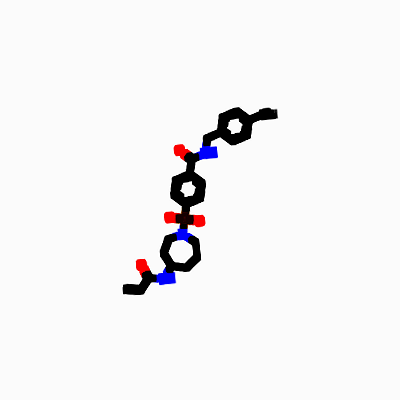 C=CC(=O)NC1CCCN(S(=O)(=O)c2ccc(C(=O)NCc3ccc(C(C)(C)C)cc3)cc2)CC1